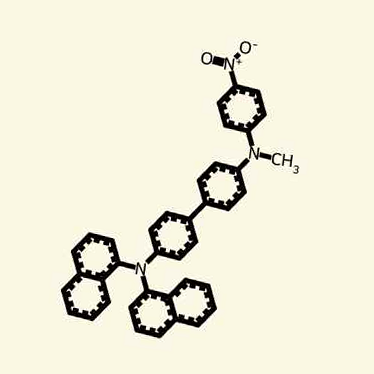 CN(c1ccc(-c2ccc(N(c3cccc4ccccc34)c3cccc4ccccc34)cc2)cc1)c1ccc([N+](=O)[O-])cc1